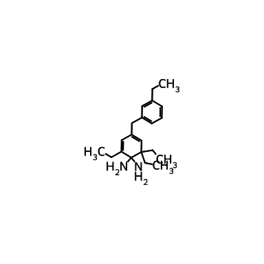 CCC1=CC(Cc2cccc(CC)c2)=CC(CC)(CC)C1(N)N